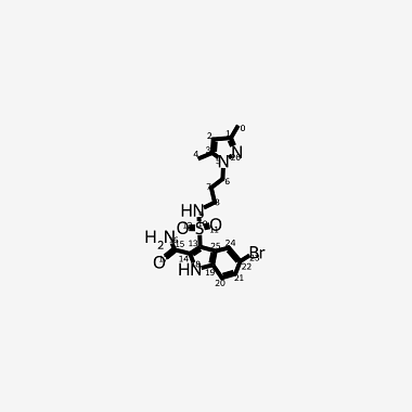 Cc1cc(C)n(CCCNS(=O)(=O)c2c(C(N)=O)[nH]c3ccc(Br)cc23)n1